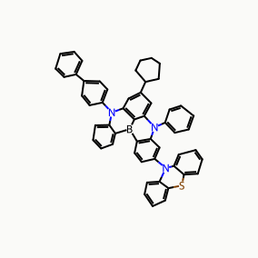 c1ccc(-c2ccc(N3c4ccccc4B4c5ccc(N6c7ccccc7Sc7ccccc76)cc5N(c5ccccc5)c5cc(C6CCCCC6)cc3c54)cc2)cc1